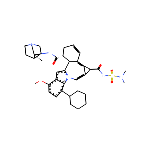 COc1ccc(C2CCCCC2)c2c1cc1n2C=C2C(=C3C=CC[C@@H](C(=O)N[C@H]4CN5CCC4CC5)C31)C2C(=O)NS(=O)(=O)N(C)C